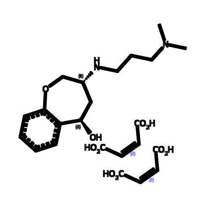 CN(C)CCCN[C@H]1COc2ccccc2[C@H](O)C1.O=C(O)/C=C\C(=O)O.O=C(O)/C=C\C(=O)O